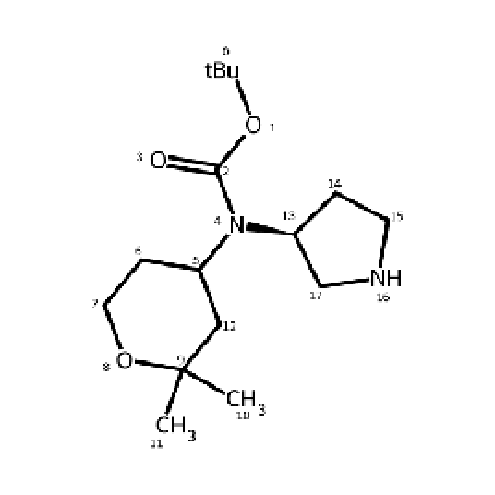 CC(C)(C)OC(=O)N(C1CCOC(C)(C)C1)[C@H]1CCNC1